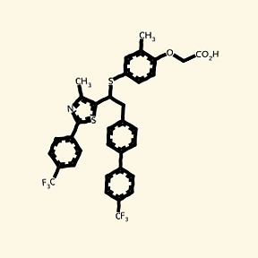 Cc1cc(SC(Cc2ccc(-c3ccc(C(F)(F)F)cc3)cc2)c2sc(-c3ccc(C(F)(F)F)cc3)nc2C)ccc1OCC(=O)O